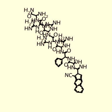 N#CC1=c2cc3ccccc3cc2=CC1C(=N)NC(O)C(=O)NC(C(=O)NC(NC(=N)N)C(=O)NC(NC(=N)N)C(=O)NC(NC(=N)N)C(=O)NC(NC(=N)N)C(=O)NC(N)C(N)=O)c1ccccc1